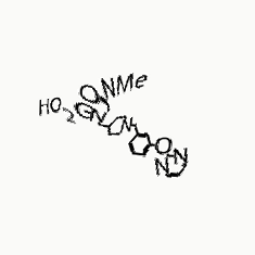 CNC(=O)CN(CC1CCN(Cc2cccc(Oc3ncccn3)c2)CC1)C(=O)O